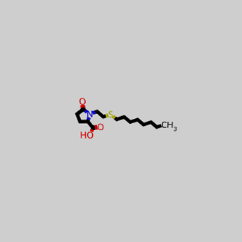 CCCCCCCCSCCN1C(=O)CCC1C(=O)O